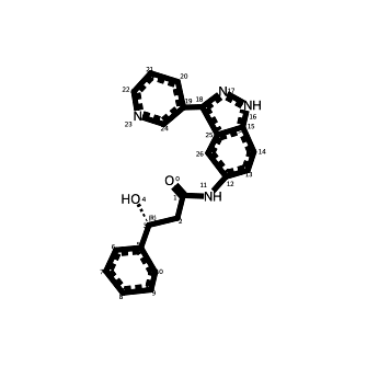 O=C(C[C@@H](O)c1ccccc1)Nc1ccc2[nH]nc(-c3cccnc3)c2c1